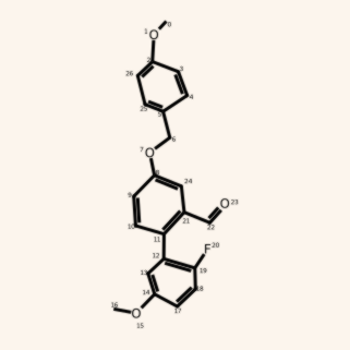 COc1ccc(COc2ccc(-c3cc(OC)ccc3F)c(C=O)c2)cc1